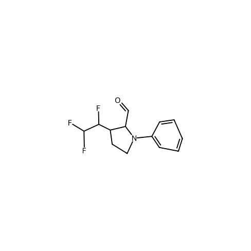 O=CC1C(C(F)C(F)F)CCN1c1ccccc1